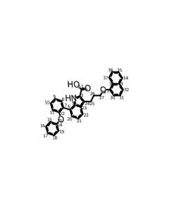 O=C(O)c1[nH]c2c(-c3ccccc3Oc3ccccc3)cccc2c1CCCOc1cccc2ccccc12